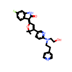 CC1(C)O/C(=C2/C(=O)Nc3cc(F)ccc32)C=C1c1ccc(N(CCO)CCc2ccncc2)nc1